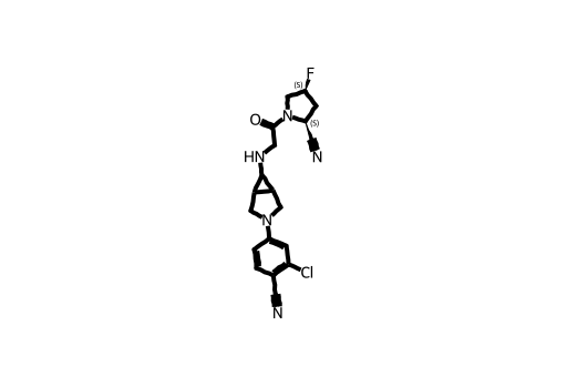 N#Cc1ccc(N2CC3C(C2)C3NCC(=O)N2C[C@@H](F)C[C@H]2C#N)cc1Cl